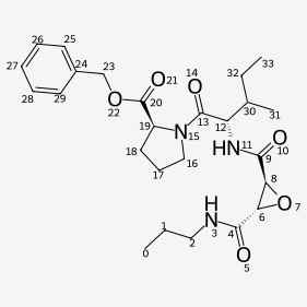 CCCNC(=O)[C@H]1O[C@@H]1C(=O)N[C@H](C(=O)N1CCC[C@H]1C(=O)OCc1ccccc1)C(C)CC